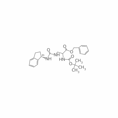 CC(C)(C)OC(=O)NC(CNC(=O)N[C@@H]1CCc2ccccc21)C(=O)OCc1ccccc1